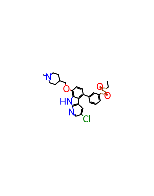 CCS(=O)(=O)c1cccc(-c2ccc(OCC3CCN(C)CC3)c3[nH]c4ncc(Cl)cc4c23)c1